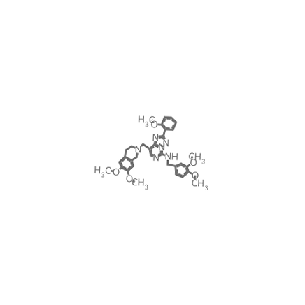 COc1ccc(CNc2ncc(CN3CCc4cc(OC)c(OC)cc4C3)c3nc(-c4ccccc4OC)nn23)cc1OC